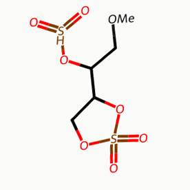 COCC(O[SH](=O)=O)C1COS(=O)(=O)O1